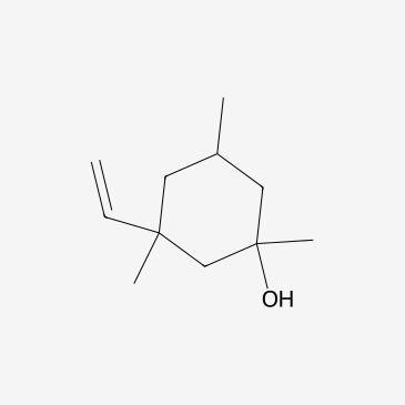 C=CC1(C)CC(C)CC(C)(O)C1